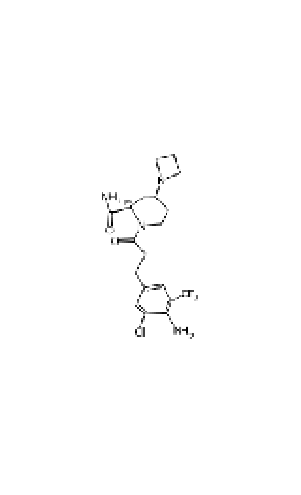 NC(=O)[C@H]1CC(N2CCC2)CCN1C(=O)[CH]Cc1cc(Cl)c(N)c(C(F)(F)F)c1